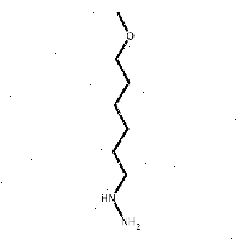 COCCCCCCNN